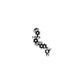 CCN1CCN(Cc2ccc3cc(C(=O)Nc4cc(NC(=O)c5ccc6c(c5)OCCO6)ccc4F)ccc3n2)C(C)C1